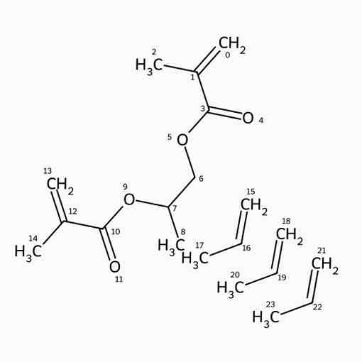 C=C(C)C(=O)OCC(C)OC(=O)C(=C)C.C=CC.C=CC.C=CC